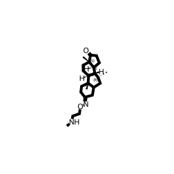 CNCCON=C1CC[C@@]2(C)C(C1)C[C@@H](C)[C@@H]1[C@@H]2CC[C@]2(C)C(=O)CC[C@@H]12